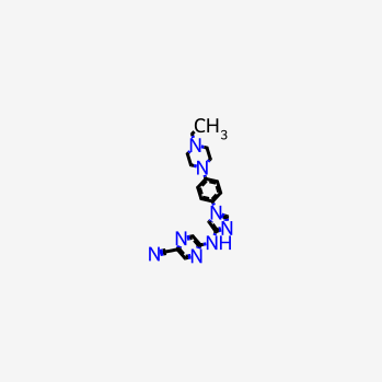 CCN1CCN(c2ccc(-n3cnc(Nc4cnc(C#N)cn4)c3)cc2)CC1